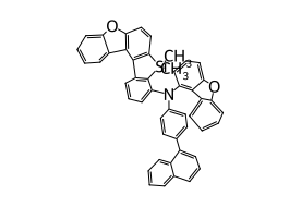 C[Si]1(C)c2ccc3oc4ccccc4c3c2-c2cccc(N(c3ccc(-c4cccc5ccccc45)cc3)c3cccc4oc5ccccc5c34)c21